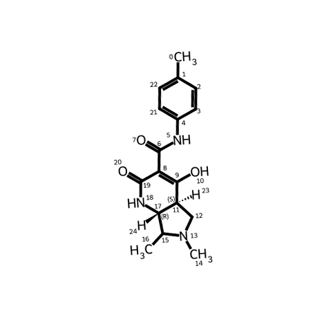 Cc1ccc(NC(=O)C2=C(O)[C@H]3CN(C)C(C)[C@@H]3NC2=O)cc1